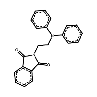 O=C1c2ccccc2C(=O)N1CCN(c1ccccc1)c1ccccc1